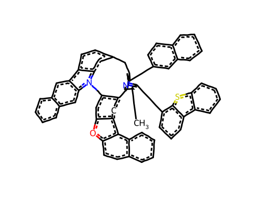 CC1C/C=C2/C(=C(c3ccc4ccccc4c3)\N=C/1c1cccc3c1sc1ccccc13)Cc1ccc3c4cc5ccccc5cc4n(c3c1)-c1cc3oc4ccc5ccccc5c4c3cc12